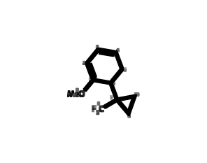 COC1=CC=CCC1C1(C(F)(F)F)CC1